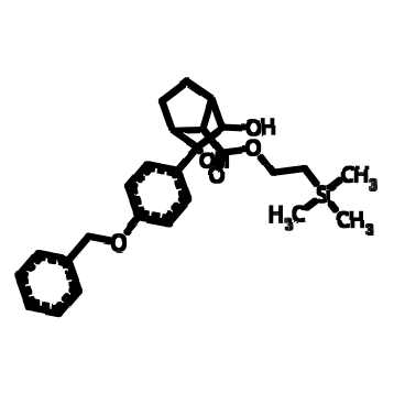 C[Si](C)(C)CCOC(=O)C1C2CCC1C(O)(c1ccc(OCc3ccccc3)cc1)C2O